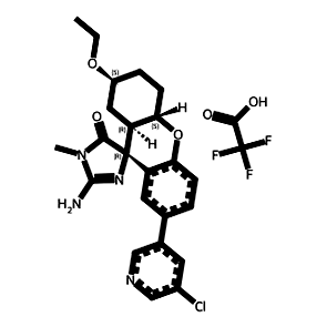 CCO[C@H]1CC[C@@H]2Oc3ccc(-c4cncc(Cl)c4)cc3[C@]3(N=C(N)N(C)C3=O)[C@H]2C1.O=C(O)C(F)(F)F